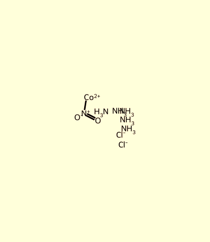 N.N.N.N.N.O=[N+]([O-])[Co+2].[Cl-].[Cl-]